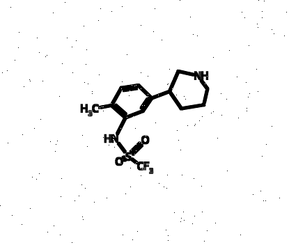 Cc1ccc(C2CCCNC2)cc1NS(=O)(=O)C(F)(F)F